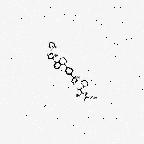 COC(=O)N[C@H](C(=O)N1CCC[C@H]1c1ncc(-c2ccc(N3CCCc4c(-c5cnc([C@@H]6CCCN6)[nH]5)cccc43)cc2)[nH]1)C(C)C